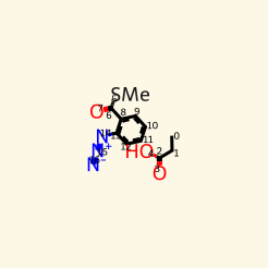 CCC(=O)O.CSC(=O)c1ccccc1N=[N+]=[N-]